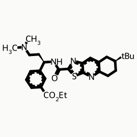 CCOC(=O)c1cccc([C@@H](CCN(C)C)NC(=O)c2nc3cc4c(nc3s2)CC[C@H](C(C)(C)C)C4)c1